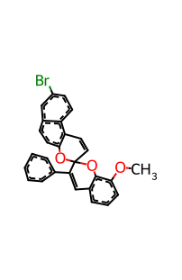 COc1cccc2c1OC1(C=Cc3c(ccc4cc(Br)ccc34)O1)C(c1ccccc1)=C2